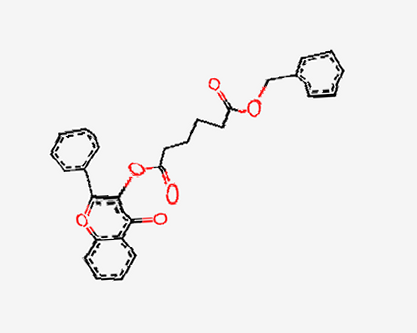 O=C(CCCCC(=O)Oc1c(-c2ccccc2)oc2ccccc2c1=O)OCc1ccccc1